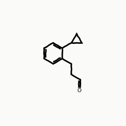 O=CCCc1ccccc1C1CC1